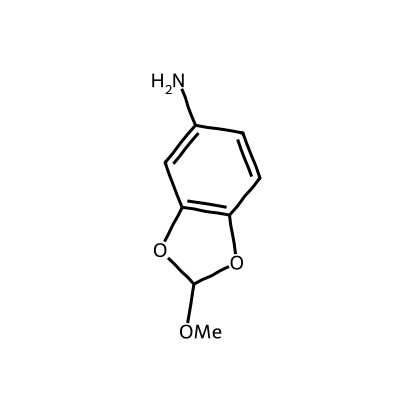 COC1Oc2ccc(N)cc2O1